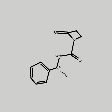 C[C@@H](NC(=O)N1CCC1=O)c1ccccc1